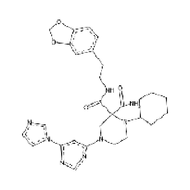 NC(=O)C1(C(=O)NCCc2ccc3c(c2)OCO3)CN(c2cc(-n3ccnc3)ncn2)CCN1C1CCCCC1